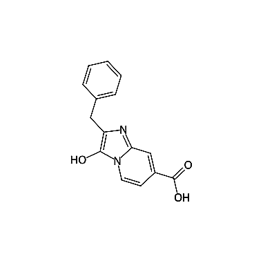 O=C(O)c1ccn2c(O)c(Cc3ccccc3)nc2c1